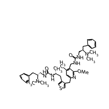 COc1nc(Cc2cscc2C[C@@H](C)NC(=O)NC[C@@H](Cc2ccccc2)N(C)C)cc(C)c1CNC(=O)NC[C@@H](Cc1ccccc1)N(C)C